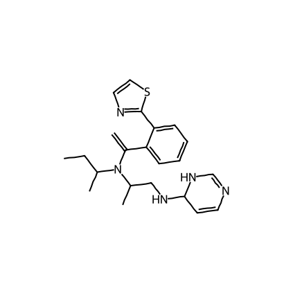 C=C(c1ccccc1-c1nccs1)N(C(C)CC)C(C)CNC1C=CN=CN1